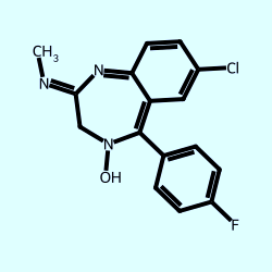 C/N=C1/CN(O)C(c2ccc(F)cc2)=c2cc(Cl)ccc2=N1